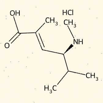 CN[C@H](C=C(C)C(=O)O)C(C)C.Cl